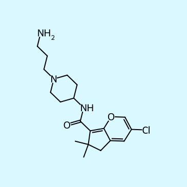 CC1(C)CC2=CC(Cl)=COC2=C1C(=O)NC1CCN(CCCN)CC1